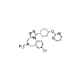 CN1Cc2cc(Cl)ccc2-n2c(nnc2C2CCC(Oc3ncccn3)CC2)C1